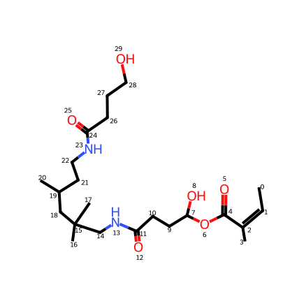 CC=C(C)C(=O)OC(O)CCC(=O)NCC(C)(C)CC(C)CCNC(=O)CCCO